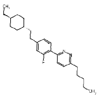 CCCCCc1ccc(-c2ccc(CC[C@H]3CC[C@H](CC)CC3)cc2F)nn1